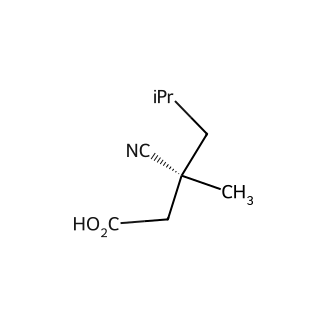 CC(C)C[C@](C)(C#N)CC(=O)O